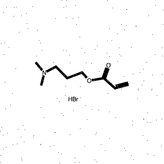 Br.C=CC(=O)OCCCN(C)C